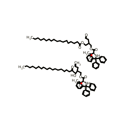 C=CCC(COC(=O)[C@@H](NC(c1ccccc1)(c1ccccc1)c1ccccc1)C(C)C)C(O)C(=O)CCCCCCCCCCCCCCCCC.CCCCCCCCCCCCCCCCCC(=O)OCC(CC=O)COC(=O)[C@@H](NC(c1ccccc1)(c1ccccc1)c1ccccc1)C(C)C